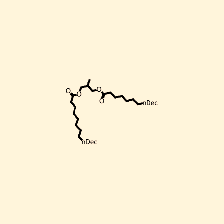 CCCCCCCCCCCCCCCCCC(=O)OCC(C)COC(=O)CCCCCCCCCCCCCCCC